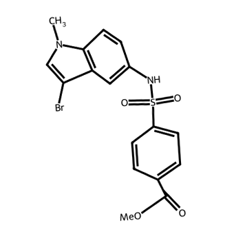 COC(=O)c1ccc(S(=O)(=O)Nc2ccc3c(c2)c(Br)cn3C)cc1